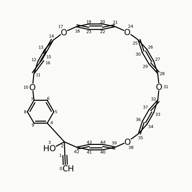 C#CC1(O)c2ccc(cc2)Oc2ccc(cc2)Oc2ccc(cc2)Oc2ccc(cc2)Oc2ccc(cc2)Oc2ccc1cc2